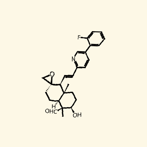 C[C@@]1(C=O)[C@H](O)CC[C@@]2(C)[C@H](/C=C/c3ccc(-c4ccccc4F)cn3)[C@@]3(CC[C@H]12)CO3